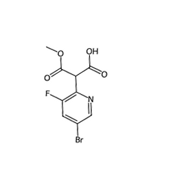 COC(=O)C(C(=O)O)c1ncc(Br)cc1F